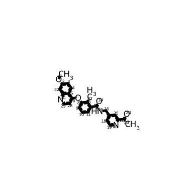 COc1ccc2c(Oc3cccc(C(=O)NCc4ccnc(C(C)=O)c4)c3C)ccnc2c1